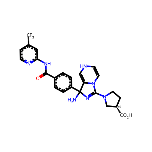 NC1(c2ccc(C(=O)Nc3cc(C(F)(F)F)ccn3)cc2)N=C(N2CC[C@@H](C(=O)O)C2)N2C=CNC=C21